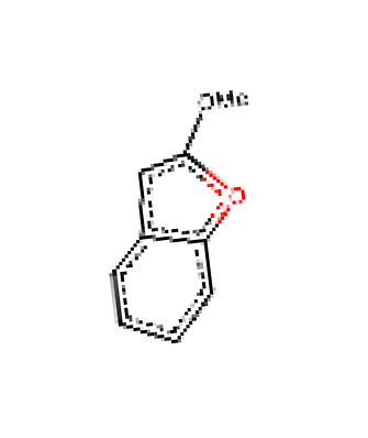 COc1[c]c2ccccc2o1